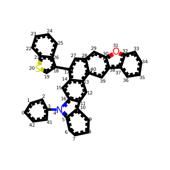 c1ccc(-n2c3ccccc3c3cc4c(cc32)c(-c2csc3ccccc23)cc2cc3oc5ccccc5c3cc24)cc1